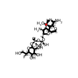 CO[C@@H]1[C@H](N)[C@@H](COP(=O)(S)OP(=O)(O)OC2OC([C@@H](F)CO)C(O)C(O)C2O)OC12C=COc1c(N)ncnc12